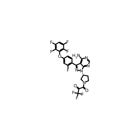 Nc1ncnc2c1c(-c1ccc(Oc3c(F)c(F)cc(F)c3F)cc1F)nn2[C@@H]1CCN(C(=O)C(=O)C(F)(F)F)C1